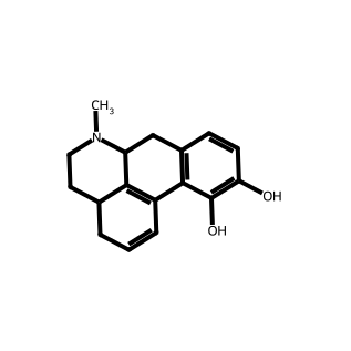 CN1CCC2CC=CC3=C2C1Cc1ccc(O)c(O)c13